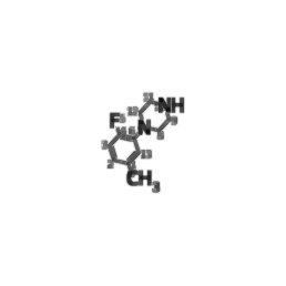 Cc1ccc(F)c(N2CCNCC2)c1